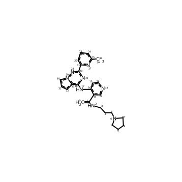 C=C(NCCCN1CCCC1)c1cnccc1Nc1nc(-c2cccc(C(F)(F)F)n2)nn2cccc12